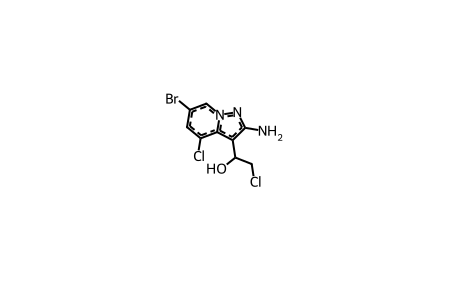 Nc1nn2cc(Br)cc(Cl)c2c1C(O)CCl